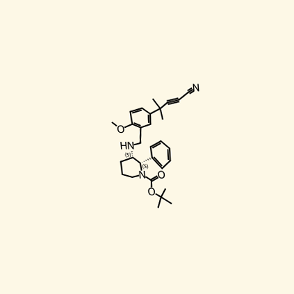 COc1ccc(C(C)(C)C#CC#N)cc1CN[C@H]1CCCN(C(=O)OC(C)(C)C)[C@H]1c1ccccc1